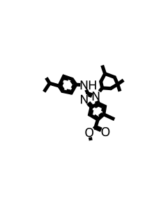 COC(=O)c1cc2nc(Nc3ccc(C(C)C)cc3)n(C3CC(C)CC(C)(C)C3)c2cc1C